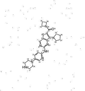 O=C(c1sc2cnc(Nc3ccc(N4CCNCC4)cn3)nc2c1C1CCCC1)N1CCC1